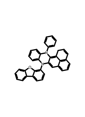 C1=Cc2cccc3cc4c(c(c23)C1)N(c1ccccc1)c1ccccc1N4c1cccc2c1oc1ccccc12